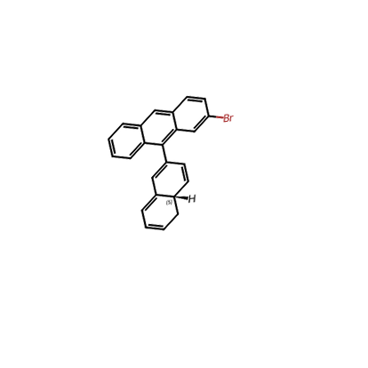 Brc1ccc2cc3ccccc3c(C3=CC4=CC=CC[C@H]4C=C3)c2c1